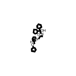 O[C@](c1ccccc1)(c1ncc(C[N+]23CCC(CC2)[C@H](COc2ccccc2)C3)o1)C1CCCCC1